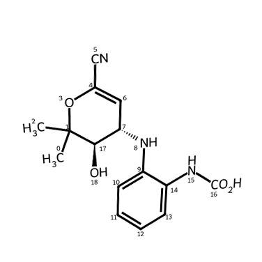 CC1(C)OC(C#N)=C[C@H](Nc2ccccc2NC(=O)O)[C@H]1O